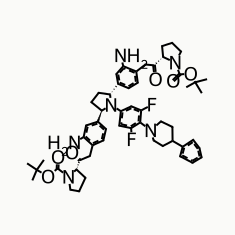 CC(C)(C)OC(=O)N1CCC[C@H]1C(=O)Cc1ccc([C@H]2CC[C@H](c3ccc(CC(=O)[C@@H]4CCCN4C(=O)OC(C)(C)C)c(N)c3)N2c2cc(F)c(N3CCC(c4ccccc4)CC3)c(F)c2)cc1N